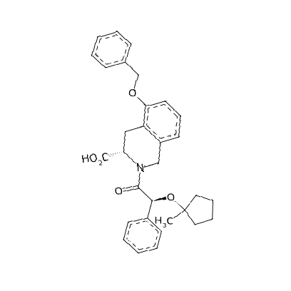 CC1(O[C@H](C(=O)N2Cc3cccc(OCc4ccccc4)c3C[C@H]2C(=O)O)c2ccccc2)CCCC1